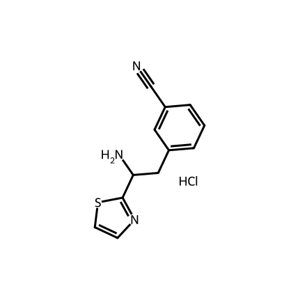 Cl.N#Cc1cccc(CC(N)c2nccs2)c1